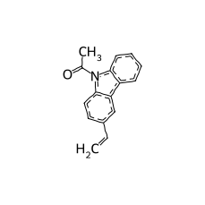 C=Cc1ccc2c(c1)c1ccccc1n2C(C)=O